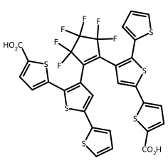 O=C(O)c1ccc(-c2cc(C3=C(c4cc(-c5cccs5)sc4-c4ccc(C(=O)O)s4)C(F)(F)C(F)(F)C3(F)F)c(-c3cccs3)s2)s1